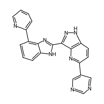 c1ccc(-c2cccc3[nH]c(-c4n[nH]c5ccc(-c6cncnc6)nc45)nc23)nc1